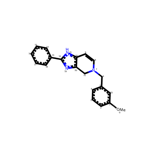 COc1cccc(CN2C=Cc3[nH]c(-c4ccccc4)nc3C2)c1